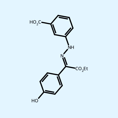 CCOC(=O)/C(=N\Nc1cccc(C(=O)O)c1)c1ccc(O)cc1